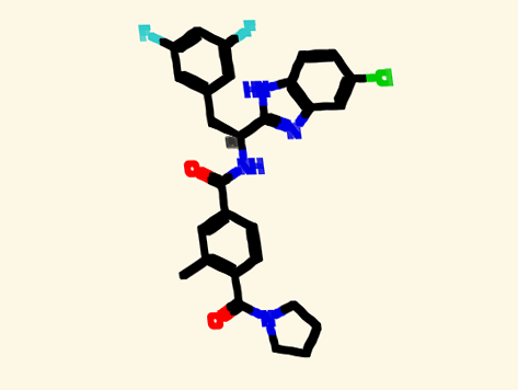 Cc1cc(C(=O)N[C@@H](Cc2cc(F)cc(F)c2)c2nc3cc(Cl)ccc3[nH]2)ccc1C(=O)N1CCCC1